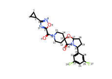 O=C(c1nc(C2CC2)no1)N1CCC2(CC1)OC1CCC(c3cc(F)cc(F)c3)N1C2=O